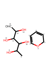 C1=CCOC=C1.CC(O)C(O)C(O)C(O)C=O